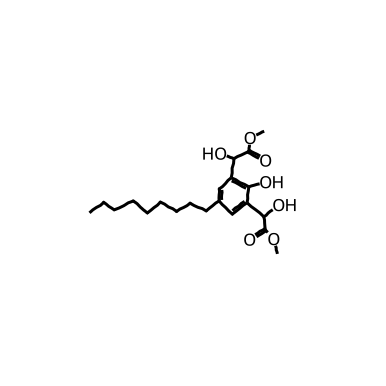 CCCCCCCCCc1cc(C(O)C(=O)OC)c(O)c(C(O)C(=O)OC)c1